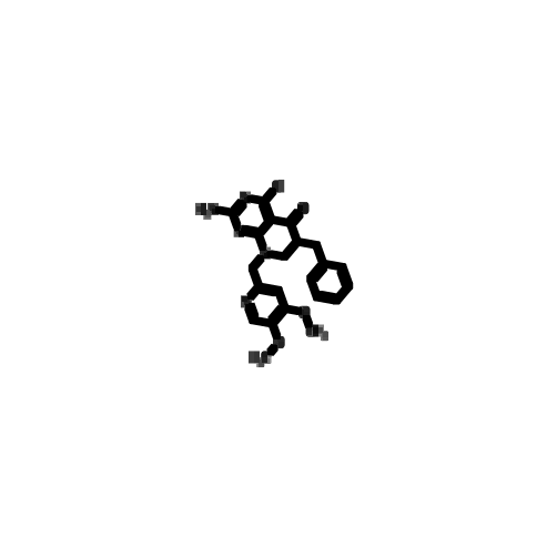 COc1cnc(CN2CC(Cc3ccccc3)C(=O)c3c(Cl)nc(N)nc32)cc1OC